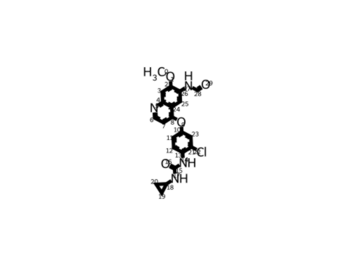 COc1cc2nccc(Oc3ccc(NC(=O)NC4CC4)c(Cl)c3)c2cc1NC=O